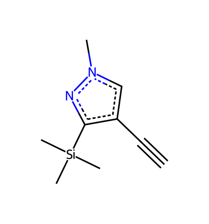 C#Cc1cn(C)nc1[Si](C)(C)C